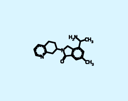 Cc1cc2c(c(C(C)N)c1)CN(C1CCc3cccnc3C1)C2=O